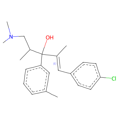 C/C(=C\c1ccc(Cl)cc1)C(O)(c1cccc(C)c1)C(C)CN(C)C